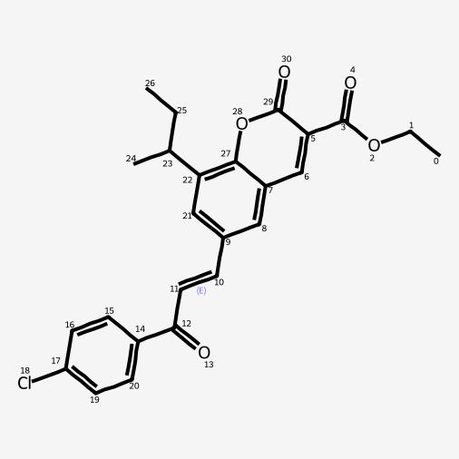 CCOC(=O)c1cc2cc(/C=C/C(=O)c3ccc(Cl)cc3)cc(C(C)CC)c2oc1=O